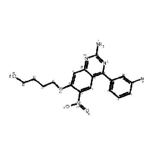 Nc1nc(-c2cccc(Br)c2)c2cc([N+](=O)[O-])c(OCCCCO)cc2n1